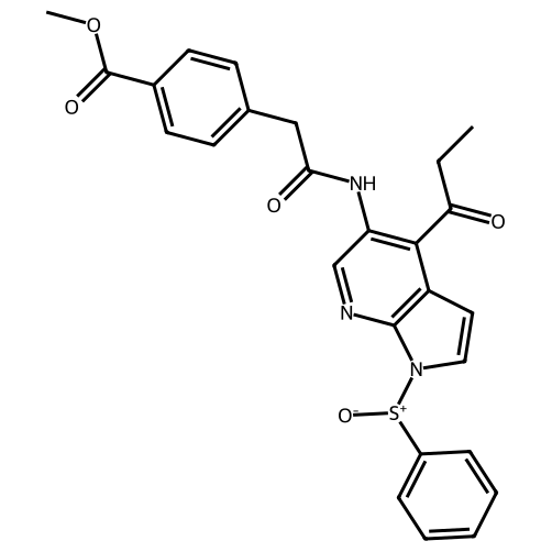 CCC(=O)c1c(NC(=O)Cc2ccc(C(=O)OC)cc2)cnc2c1ccn2[S+]([O-])c1ccccc1